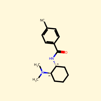 CN(C)[C@@H]1CCCC[C@H]1NC(=O)c1ccc(C#N)cc1